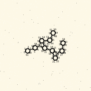 c1ccc(-c2ccc(-n3c4ccc(-c5ccc6c(c5)c5ccccc5n6-c5cccc(-c6ccccc6)c5)cc4c4c(-c5cccc(-c6ccccc6)c5)cccc43)cc2)cc1